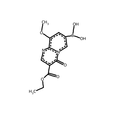 CCOC(=O)c1cnc2c(OC)cc(B(O)O)cn2c1=O